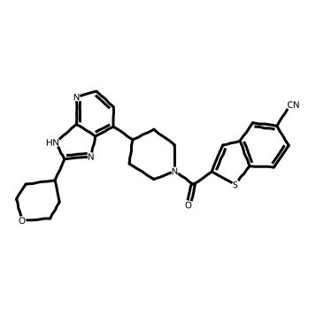 N#Cc1ccc2sc(C(=O)N3CCC(c4ccnc5[nH]c(C6CCOCC6)nc45)CC3)cc2c1